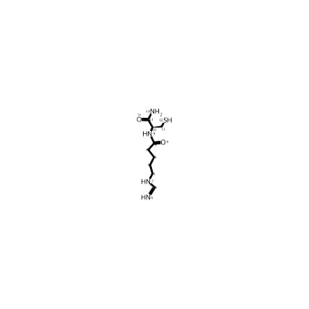 N=CNCCCCC(=O)N[C@H](CS)C(N)=O